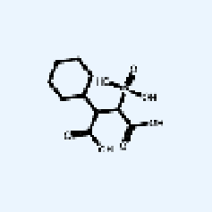 O=C(O)C(C1CCCCC1)C(C(=O)O)P(=O)(O)O